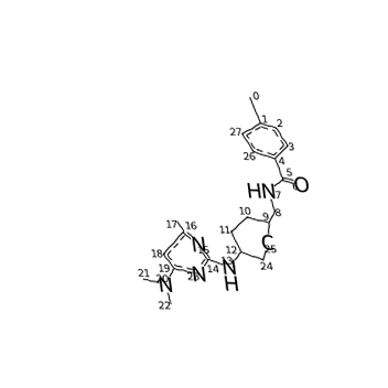 Cc1ccc(C(=O)NCC2CCC(Nc3nc(C)cc(N(C)C)n3)CC2)cc1